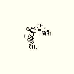 CCOC(=O)C[C@H](O)C[C@H]1CC(=O)C[C@@H](C[C@@H](C)CCOB=[PH]=S)O1